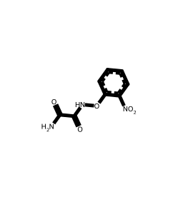 NC(=O)C(=O)NOc1ccccc1[N+](=O)[O-]